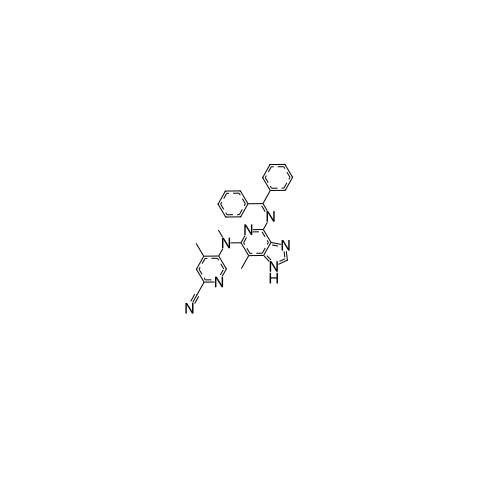 Cc1cc(C#N)ncc1N(C)c1nc(N=C(c2ccccc2)c2ccccc2)c2nc[nH]c2c1C